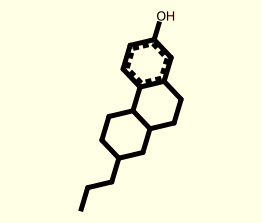 CCCC1CCC2c3ccc(O)cc3CCC2C1